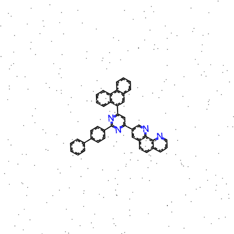 c1ccc(-c2ccc(-c3nc(-c4cnc5c(ccc6cccnc65)c4)cc(-c4cc5ccccc5c5ccccc45)n3)cc2)cc1